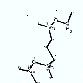 C[SiH2]O[SiH](C)CCC[SiH](C)O[SiH](C)C